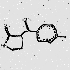 CC(c1ccc(F)cc1)C1CCNC1=O